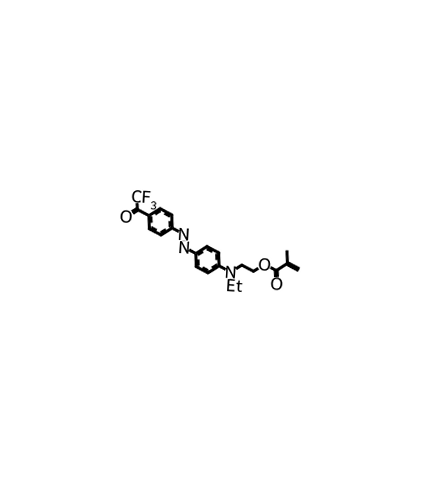 C=C(C)C(=O)OCCN(CC)c1ccc(N=Nc2ccc(C(=O)C(F)(F)F)cc2)cc1